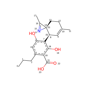 CCCc1cc(O)c([C@@H]2C=C(C)CC[C@]23N=C3C)c(O)c1C(=O)O